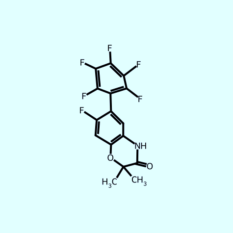 CC1(C)Oc2cc(F)c(-c3c(F)c(F)c(F)c(F)c3F)cc2NC1=O